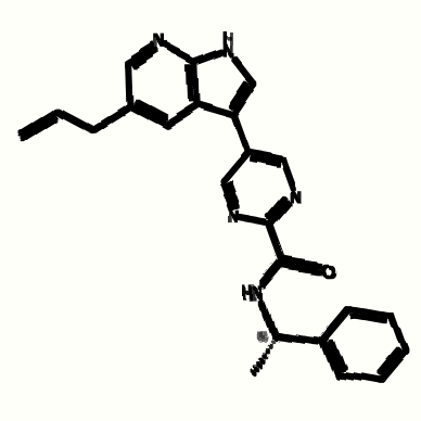 C=CCc1cnc2[nH]cc(-c3cnc(C(=O)N[C@@H](C)c4ccccc4)nc3)c2c1